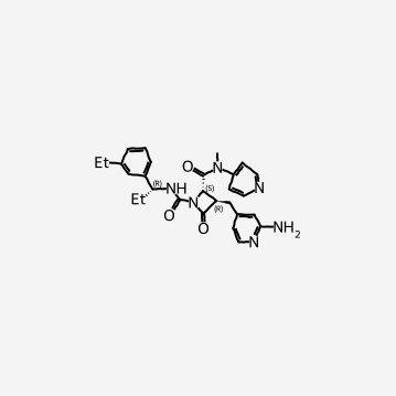 CCc1cccc([C@@H](CC)NC(=O)N2C(=O)[C@H](Cc3ccnc(N)c3)[C@H]2C(=O)N(C)c2ccncc2)c1